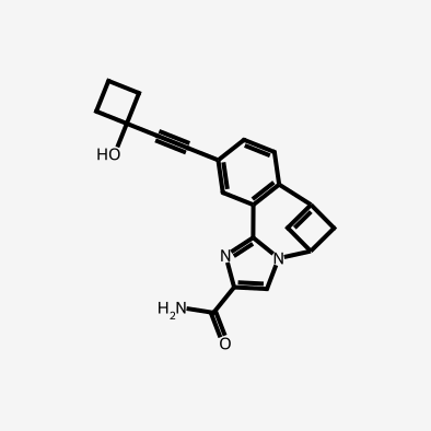 NC(=O)c1cn2c(n1)-c1cc(C#CC3(O)CCC3)ccc1C1=CC2C1